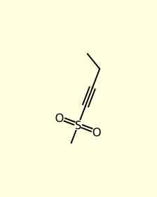 CCC#CS(C)(=O)=O